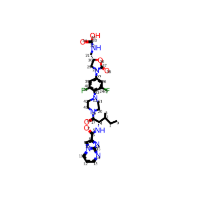 CCC(C)[C@H](NC(=O)c1cn2cccnc2n1)C(=O)N1CCN(c2c(F)cc(N3C[C@H](CNC(=O)O)OC3=O)cc2F)CC1